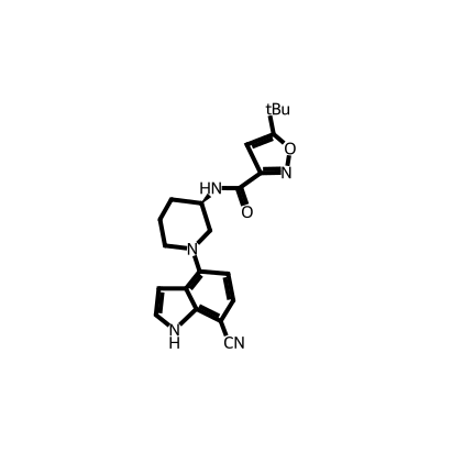 CC(C)(C)c1cc(C(=O)N[C@@H]2CCCN(c3ccc(C#N)c4[nH]ccc34)C2)no1